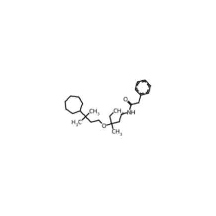 CCC(C)(CCNC(=O)Cc1ccccc1)OCCC(C)(C)C1CCCCCC1